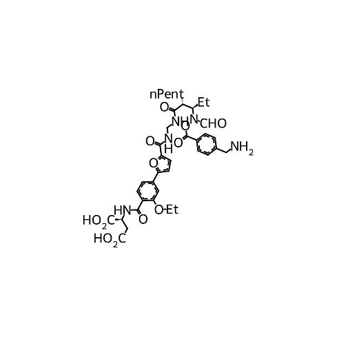 CCCCC[C@@H](C(=O)NCNC(=O)c1ccc(-c2ccc(C(=O)N[C@@H](CC(=O)O)C(=O)O)c(OCC)c2)o1)[C@@H](CC)N(C=O)OC(=O)c1ccc(CN)cc1